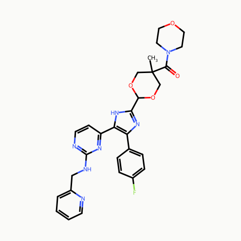 CC1(C(=O)N2CCOCC2)COC(c2nc(-c3ccc(F)cc3)c(-c3ccnc(NCc4ccccn4)n3)[nH]2)OC1